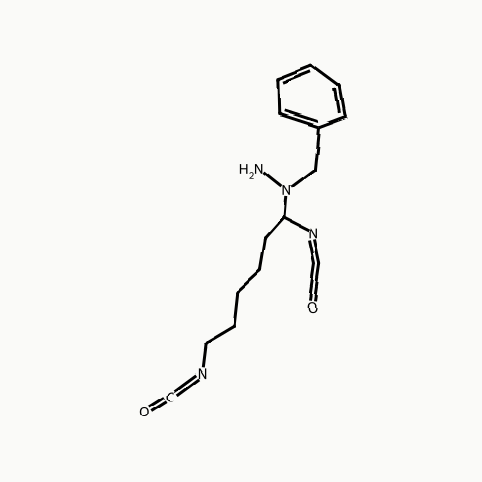 NN(Cc1ccccc1)C(CCCCCN=C=O)N=C=O